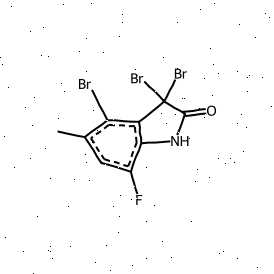 Cc1cc(F)c2c(c1Br)C(Br)(Br)C(=O)N2